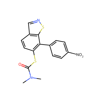 CN(C)C(=O)Sc1ccc2cnsc2c1-c1ccc([N+](=O)[O-])cc1